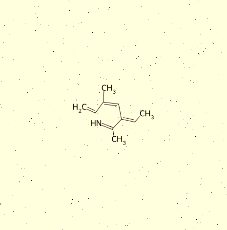 C=C/C(C)=C\C(=C/C)C(C)=N